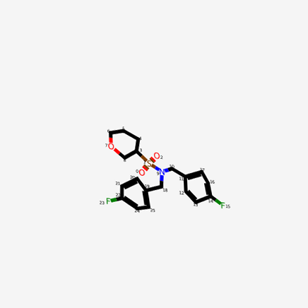 O=S(=O)(C1CCCOC1)N(Cc1ccc(F)cc1)Cc1ccc(F)cc1